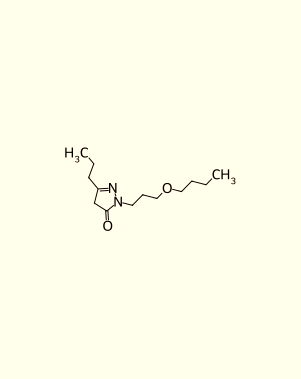 CCCCOCCCN1N=C(CCC)CC1=O